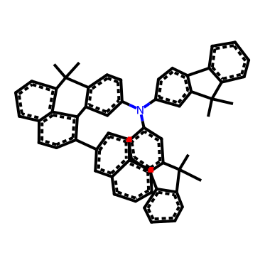 CC1(C)c2ccccc2-c2ccc(N(c3ccc4c(c3)-c3c(-c5ccc6ccccc6c5)ccc5cccc(c35)C4(C)C)c3ccc4c(c3)C(C)(C)c3ccccc3-4)cc21